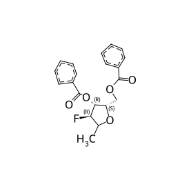 CC1O[C@@H](COC(=O)c2ccccc2)[C@@H](OC(=O)c2ccccc2)[C@@H]1F